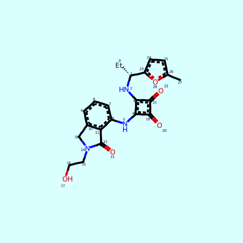 CC[C@@H](Nc1c(Nc2cccc3c2C(=O)N(CCO)C3)c(=O)c1=O)c1ccc(C)o1